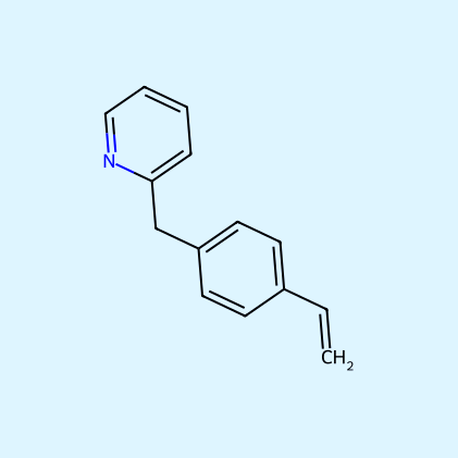 C=Cc1ccc(Cc2ccccn2)cc1